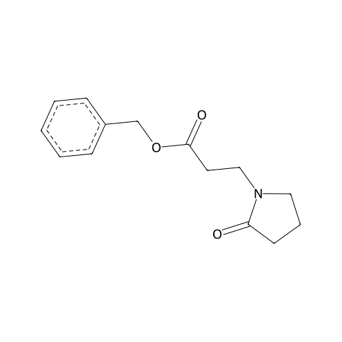 O=C(CCN1CCCC1=O)OCc1ccccc1